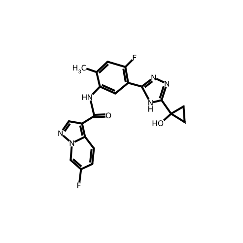 Cc1cc(F)c(-c2nnc(C3(O)CC3)[nH]2)cc1NC(=O)c1cnn2cc(F)ccc12